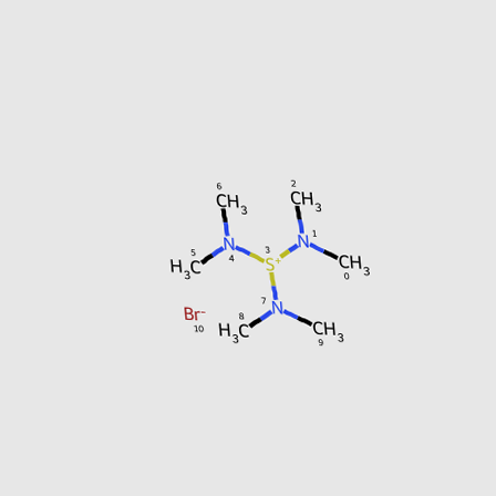 CN(C)[S+](N(C)C)N(C)C.[Br-]